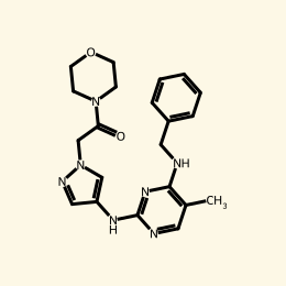 Cc1cnc(Nc2cnn(CC(=O)N3CCOCC3)c2)nc1NCc1ccccc1